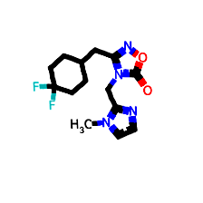 Cn1ccnc1Cn1c(CC2CCC(F)(F)CC2)noc1=O